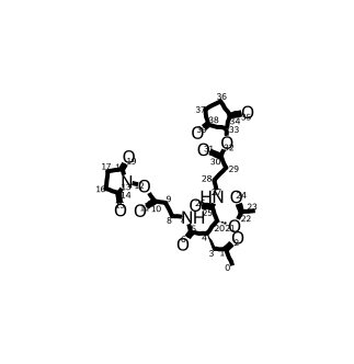 CC(=O)C[C@@H](C(=O)NCCC(=O)ON1C(=O)CCC1=O)[C@@H](OC(C)=O)C(=O)NCCC(=O)OC1C(=O)CCC1=O